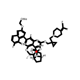 CCc1c(F)ccc2cc(OCOC)cc(-c3nc4c5c(nc(OCC6(CN7CCC(=C(F)F)CC7)CC6)nc5c3F)N3C[C@H]5CC[C@@H]([C@H]3[C@H](C)O4)N5C(=O)OC(C)(C)C)c12